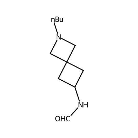 CCCCN1CC2(CC(NC=O)C2)C1